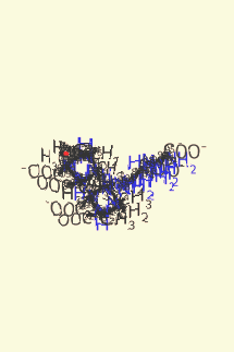 C=CC1=C(C)c2cc3[nH]c(cc4nc(cc5[nH]c(cc1n2)c(C)c5CCC(=O)[O-])C(CCC(=O)[O-])=C4C)c(C)c3C=C.C=CC1=C(C)c2cc3[nH]c(cc4nc(cc5[nH]c(cc1n2)c(C)c5CCC(=O)[O-])C(CCC(=O)[O-])=C4C)c(C)c3C=C.N=C(N)NCCC[C@H](N)C(=O)[O-].N=C(N)NCCC[C@H](N)C(=O)[O-].[Zn+2].[Zn+2].[Zn+2]